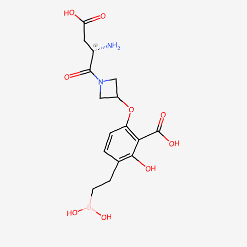 N[C@@H](CC(=O)O)C(=O)N1CC(Oc2ccc(CCB(O)O)c(O)c2C(=O)O)C1